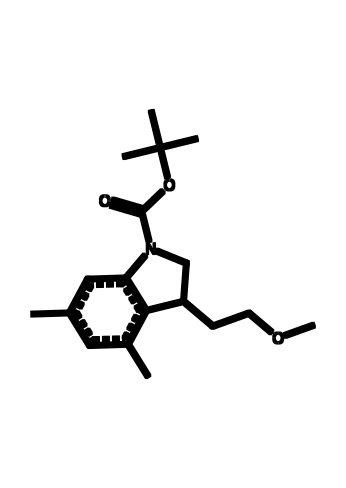 COCCC1CN(C(=O)OC(C)(C)C)c2cc(C)cc(C)c21